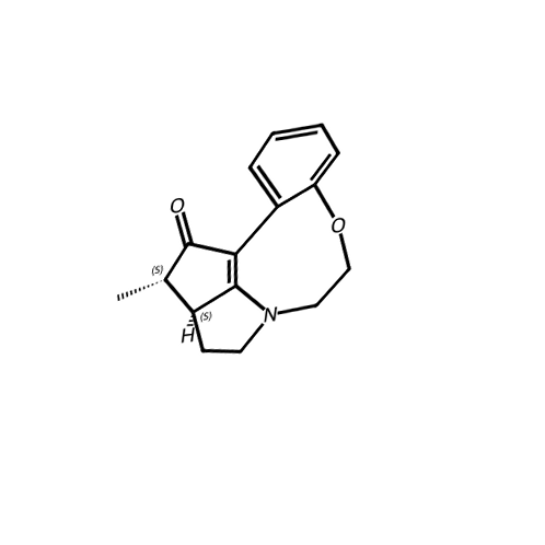 C[C@@H]1C(=O)C2=C3[C@H]1CCN3CCOc1ccccc12